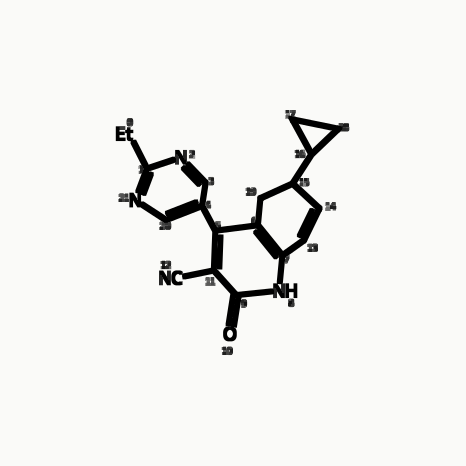 CCc1ncc(-c2c3c([nH]c(=O)c2C#N)C=CC(C2CC2)C3)cn1